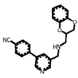 N#Cc1ccc(-c2cncc(CNCC3COc4ccccc4O3)c2)cc1